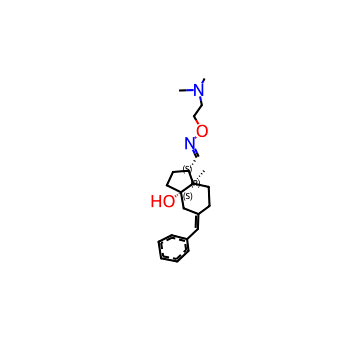 CN(C)CCON=C[C@H]1CC[C@]2(O)CC(=Cc3ccccc3)CC[C@]12C